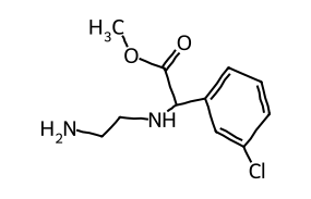 COC(=O)C(NCCN)c1cccc(Cl)c1